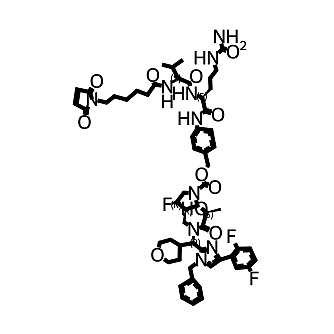 CC(C)[C@H](NC(=O)CCCCCN1C(=O)C=CC1=O)C(=O)N[C@@H](CCCNC(N)=O)C(=O)Nc1ccc(COC(=O)N2C[C@@H](CN(C(=O)[C@H](C)O)[C@@H](c3nc(-c4cc(F)ccc4F)cn3Cc3ccccc3)C3CCOCC3)[C@@H](F)C2)cc1